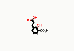 O=C(O)c1cccc(CCC(O)O)c1O